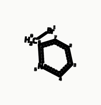 CBr.c1ccncc1